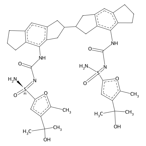 Cc1oc(S(N)(=O)=NC(=O)Nc2c3c(cc4c2CC(C2Cc5cc6c(c(NC(=O)N=[S@@](N)(=O)c7cc(C(C)(C)O)c(C)o7)c5C2)CCC6)C4)CCC3)cc1C(C)(C)O